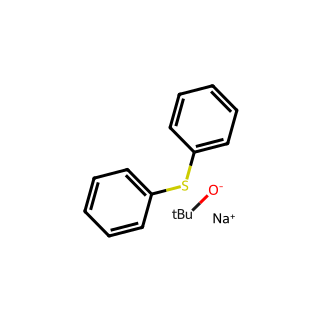 CC(C)(C)[O-].[Na+].c1ccc(Sc2ccccc2)cc1